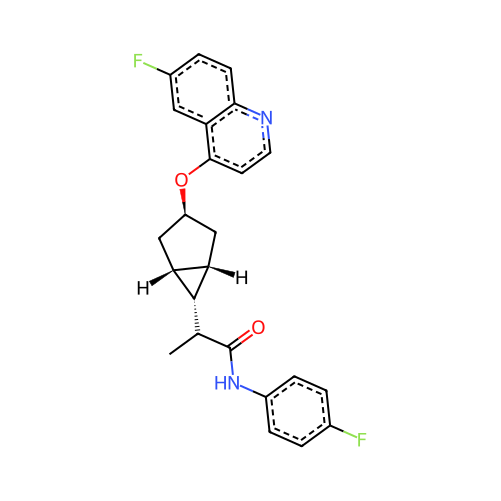 CC(C(=O)Nc1ccc(F)cc1)[C@@H]1[C@@H]2C[C@@H](Oc3ccnc4ccc(F)cc34)C[C@@H]21